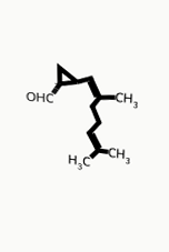 CC(C)=CCCC(C)=CC1C[C]1C=O